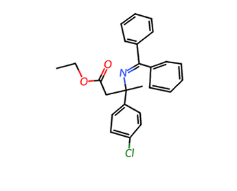 CCOC(=O)CC(C)(N=C(c1ccccc1)c1ccccc1)c1ccc(Cl)cc1